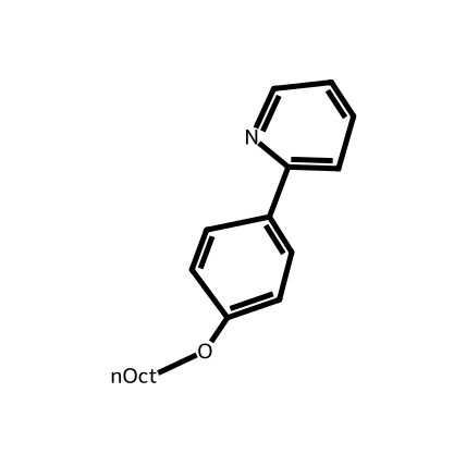 CCCCCCCCOc1ccc(-c2ccccn2)cc1